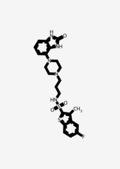 Cc1c(S(=O)(=O)NCCCN2CCN(c3cccc4[nH]c(=O)[nH]c34)CC2)sc2ccc(F)cc12